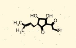 CC(C)=CC[C@@H]1C(=O)C(C(=O)CC(C)C)=C(O)[C@@H]1O